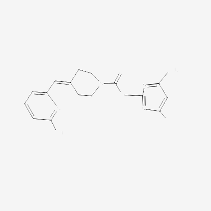 Cc1cccc(C=C2CCN(C(=O)Oc3nc(C)cc(C)n3)CC2)n1